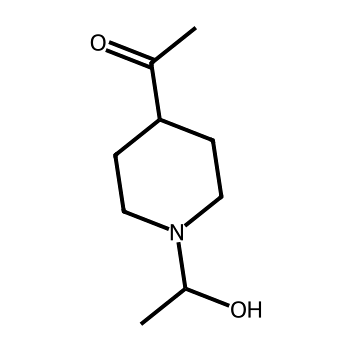 CC(=O)C1CCN(C(C)O)CC1